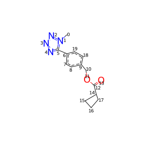 Cn1nnnc1-c1ccc(COC(=O)C2CCC2)cc1